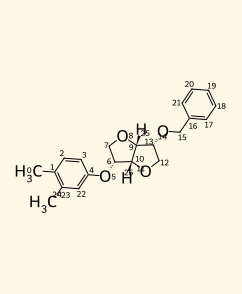 Cc1ccc(O[C@@H]2CO[C@H]3[C@@H]2OC[C@H]3OCc2ccccc2)cc1C